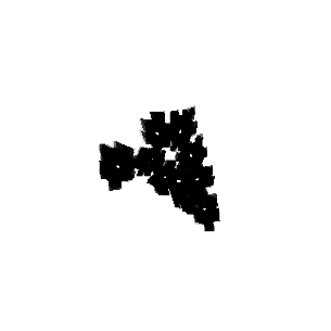 c1ccc(-c2ccc3c4ccc(-c5ccccc5)cc4n(-c4cc(-c5nc(-c6ccccc6)nc(-c6ccccc6)n5)ccc4-c4ccccn4)c3c2)cc1